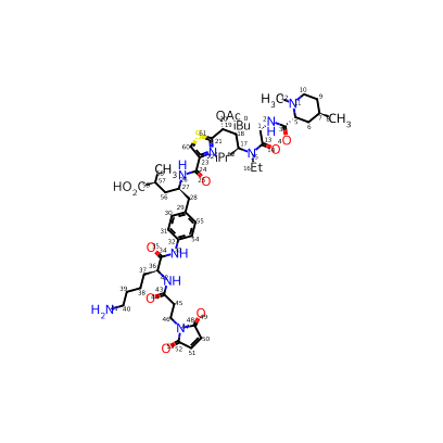 CC[C@H](C)[C@H](NC(=O)[C@H]1C[C@H](C)CCN1C)C(=O)N(CC)[C@H](C[C@@H](OC(C)=O)c1nc(C(=O)N[C@@H](Cc2ccc(NC(=O)[C@H](CCCCN)NC(=O)CCN3C(=O)C=CC3=O)cc2)C[C@H](C)C(=O)O)cs1)C(C)C